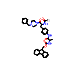 CCC(=O)NC(Cc1ccc(NC(=O)C(C)NC(=O)OCC2c3ccccc3-c3ccccc32)cc1)C(=O)N1CCN(Cc2ccccc2)CC1